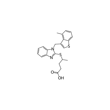 Cc1cccc2scc(Cn3c(SC(C)CCC(=O)O)nc4ccccc43)c12